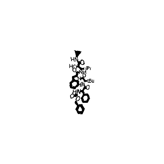 CCCC(NC(=O)C1CC2CCCCC2N1C(=O)C(NC(=O)C(NC(=O)OCc1ccccc1)C1CCCCC1)C(C)(C)C)C(O)C(=O)NC1CC1